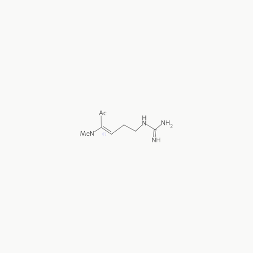 CN/C(=C/CCNC(=N)N)C(C)=O